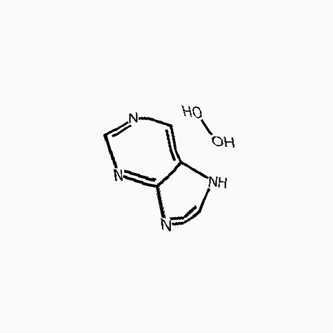 OO.c1ncc2[nH]cnc2n1